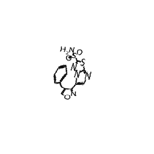 NS(=O)(=O)c1nn2c(-c3nocc3-c3ccccc3)cnc2s1